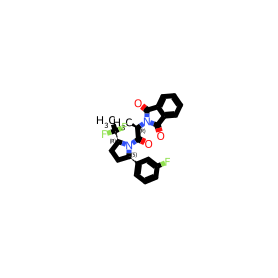 C[C@H](C(=O)N1[C@H](c2cccc(F)c2)CC[C@@H]1C(C)(F)F)N1C(=O)c2ccccc2C1=O